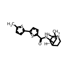 Cc1ccc(-c2ccc(C(=O)N[C@@H]3C4CCN(CC4)[C@H]3C)s2)s1